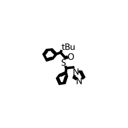 CC(C)(C)C(C(=O)SC(Cn1ccnc1)c1ccccc1)c1ccccc1